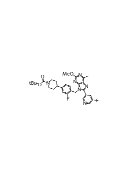 COc1nc(C)c2nc(-c3cncc(F)c3)n(Cc3ccc(C4CCN(C(=O)OC(C)(C)C)CC4)cc3F)c2n1